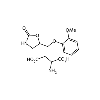 COc1ccccc1OCC1CNC(=O)O1.NC(CC(=O)O)C(=O)O